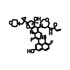 C#Cc1c(F)ccc2cc(O)cc(-c3ncc4c(N5CCOCC(NC(=O)C=C)C5)c5c(nc4c3F)O[C@@H](C3(CN4CCOCC4)CC3)C[C@]5(C)O)c12